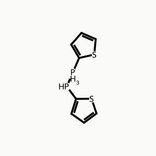 c1csc(P[PH3]c2cccs2)c1